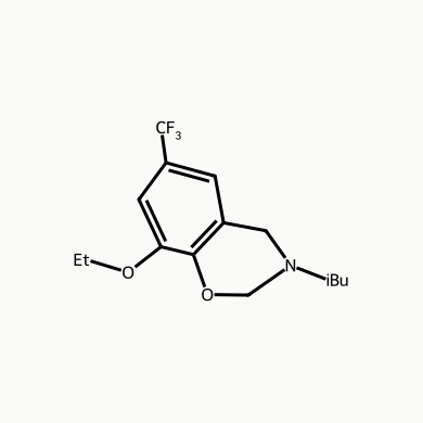 CCOc1cc(C(F)(F)F)cc2c1OCN(C(C)CC)C2